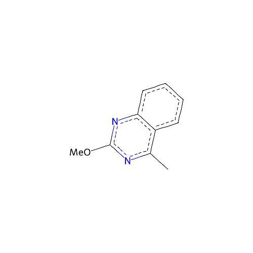 COc1nc(C)c2ccccc2n1